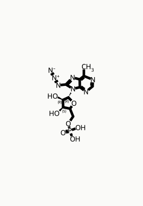 Cc1ncnc2c1nc(N=[N+]=[N-])n2[C@@H]1OC(COP(=O)(O)O)[C@@H](O)[C@H]1O